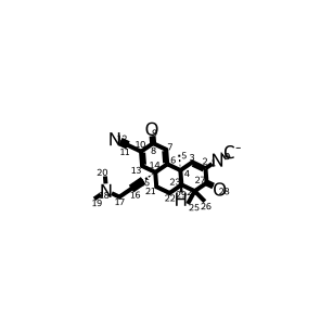 [C-]#[N+]C1=C[C@]2(C)C3=CC(=O)C(C#N)=C[C@]3(C#CCN(C)C)CC[C@H]2C(C)(C)C1=O